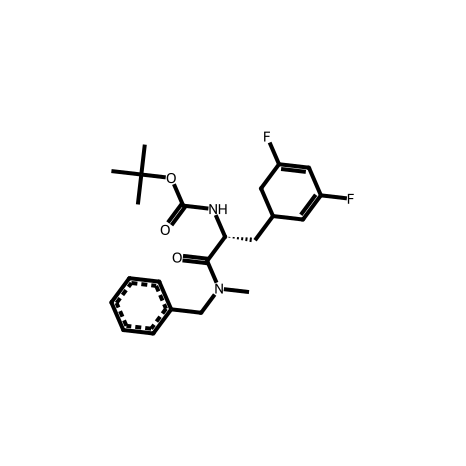 CN(Cc1ccccc1)C(=O)[C@@H](CC1C=C(F)C=C(F)C1)NC(=O)OC(C)(C)C